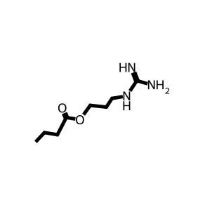 CCCC(=O)OCCCNC(=N)N